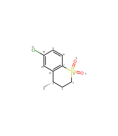 C[C@H]1CCS(=O)(=O)c2ccc(Cl)cc21